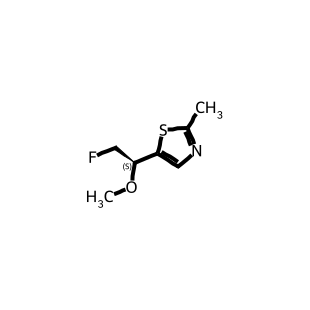 CO[C@@H](CF)c1cnc(C)s1